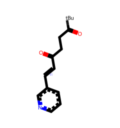 CC(C)(C)C(=O)CCC(=O)/C=C/c1cccnc1